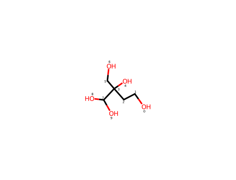 OCCC(O)(CO)C(O)O